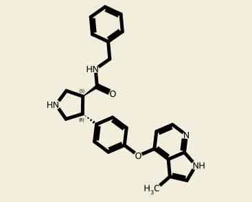 Cc1c[nH]c2nccc(Oc3ccc([C@@H]4CNC[C@H]4C(=O)NCc4ccccc4)cc3)c12